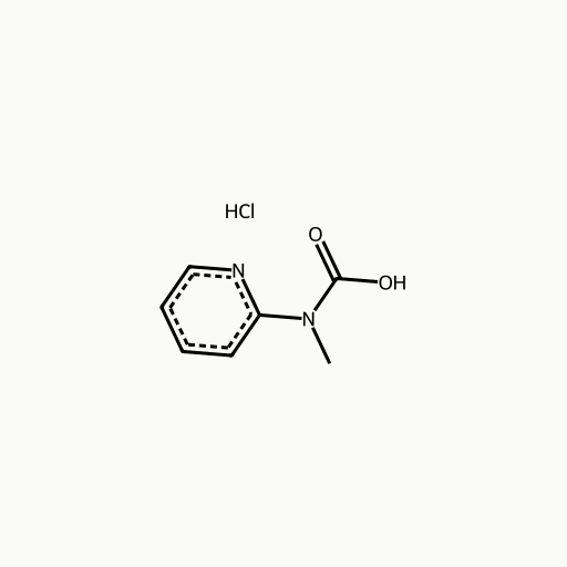 CN(C(=O)O)c1ccccn1.Cl